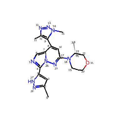 Cc1cc(-c2ncc3c(-c4c(C)nnn4C)cc(N4CCOC[C@H]4C)nn23)[nH]n1